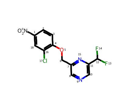 O=[N+]([O-])c1ccc(OCc2cncc(C(F)F)n2)c(Cl)c1